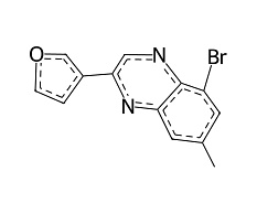 Cc1cc(Br)c2ncc(-c3ccoc3)nc2c1